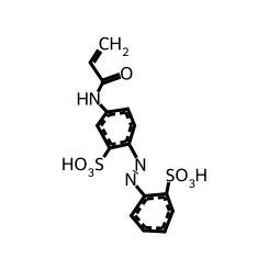 C=CC(=O)Nc1ccc(N=Nc2ccccc2S(=O)(=O)O)c(S(=O)(=O)O)c1